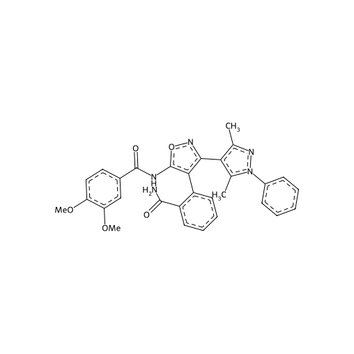 COc1ccc(C(=O)Nc2onc(-c3c(C)nn(-c4ccccc4)c3C)c2-c2ccccc2C(N)=O)cc1OC